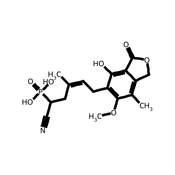 COc1c(C)c2c(c(O)c1CC=C(C)CC(C#N)P(=O)(O)O)C(=O)OC2